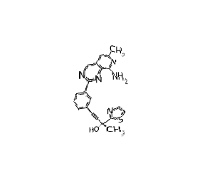 Cc1cc2cnc(-c3cccc(C#C[C@@](C)(O)c4nccs4)c3)nc2c(N)n1